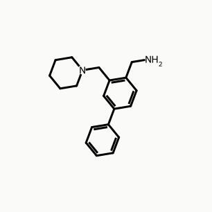 NCc1ccc(-c2ccccc2)cc1CN1CCCCC1